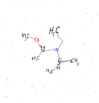 CCN([SiH](C)C)[SiH](C)OC